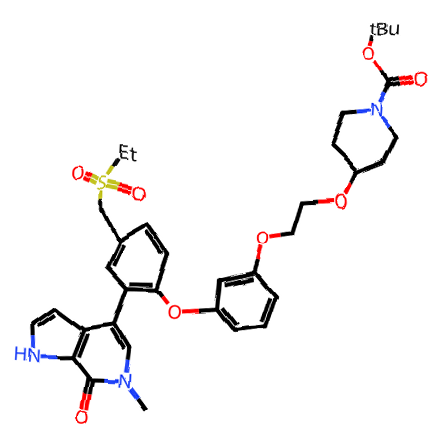 CCS(=O)(=O)Cc1ccc(Oc2cccc(OCCOC3CCN(C(=O)OC(C)(C)C)CC3)c2)c(-c2cn(C)c(=O)c3[nH]ccc23)c1